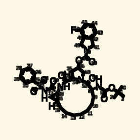 CC(C)(C)OC(=O)N[C@H]1CCCCCCC[C@@H]2C[C@@]2(C(=O)NS(=O)(=O)c2ccccc2)NC(=O)[C@@H]2CC(OC(=O)N3Cc4cccc(F)c4C3)CN2C1=O